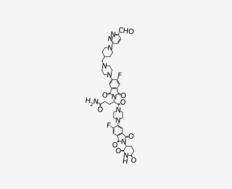 NC(=O)CCC(C(=O)N1CCN(c2cc3c(cc2F)C(=O)N(C2CCC(=O)NC2=O)C3=O)CC1)N1C(=O)c2cc(F)c(N3CCN(CC4CCN(c5ccc(C=O)nn5)CC4)CC3)cc2C1=O